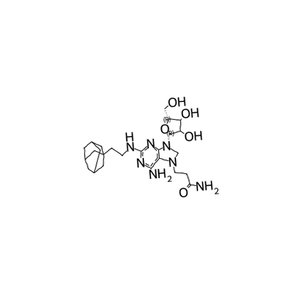 NC(=O)CCN1CN([C@@H]2O[C@H](CO)C(O)C2O)c2nc(NCCC34CC5CC(CC(C5)C3)C4)nc(N)c21